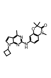 Cc1nc(Nc2ccc3c(c2)OC(C)(C)C(=O)N3C)nc2c1ccn2C1CCC1